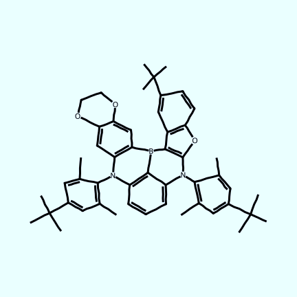 Cc1cc(C(C)(C)C)cc(C)c1N1c2cc3c(cc2B2c4c1cccc4N(c1c(C)cc(C(C)(C)C)cc1C)c1oc4ccc(C(C)(C)C)cc4c12)OCCO3